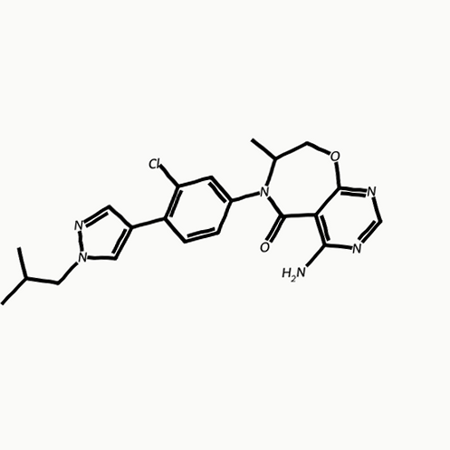 CC(C)Cn1cc(-c2ccc(N3C(=O)c4c(N)ncnc4OCC3C)cc2Cl)cn1